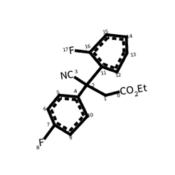 CCOC(=O)CC(C#N)(c1ccc(F)cc1)c1ccccc1F